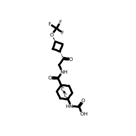 O=C(O)NC12CCC(C(=O)NCC(=O)[C@H]3C[C@@H](OC(F)(F)F)C3)(CC1)CC2